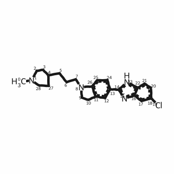 CN1CCC(CCCN2CCc3cc(-c4nc5cc(Cl)ccc5[nH]4)ccc32)CC1